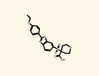 CCOc1ccc(-c2nc3ccc(S(=O)(=O)C4(C(=O)O)CCOCC4)cc3s2)cc1